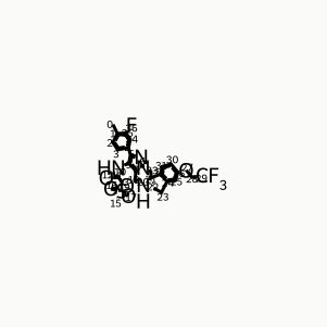 Cc1ccc(-c2nn3c(c2NC(=O)CS(C)(=O)=O)C(=O)N[C@@]2(CCc4cc(OCC(F)(F)F)ccc42)C3)cc1F